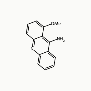 COc1cccc2nc3ccccc3c(N)c12